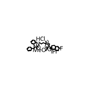 COCC(=O)O[C@]1(CCN(C)CCCCn2c(=O)n(Cc3ccccc3)c3ccccc32)CCc2cc(F)ccc2[C@@H]1C(C)C.Cl